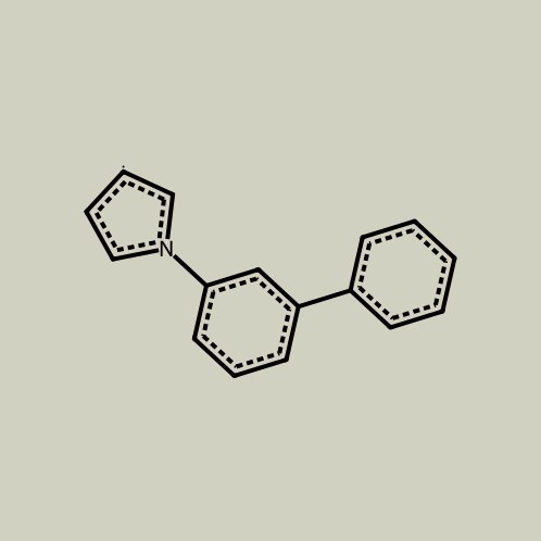 [c]1ccn(-c2cccc(-c3ccccc3)c2)c1